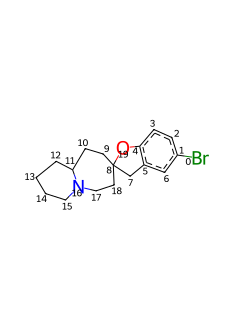 Brc1ccc2c(c1)CC1(CCC3CCCCN3CC1)O2